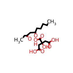 CCCCCC(=O)CC(=O)CC.O=C(O)CC(O)(CC(=O)O)C(=O)O